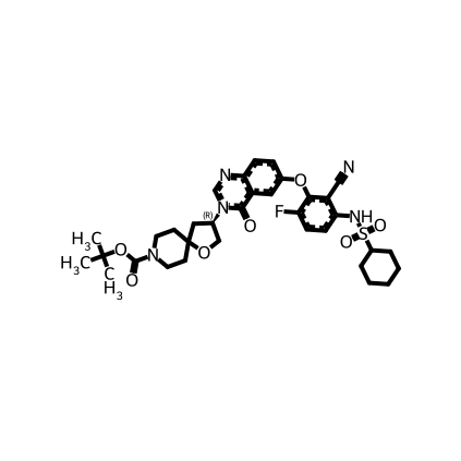 CC(C)(C)OC(=O)N1CCC2(CC1)C[C@@H](n1cnc3ccc(Oc4c(F)ccc(NS(=O)(=O)C5CCCCC5)c4C#N)cc3c1=O)CO2